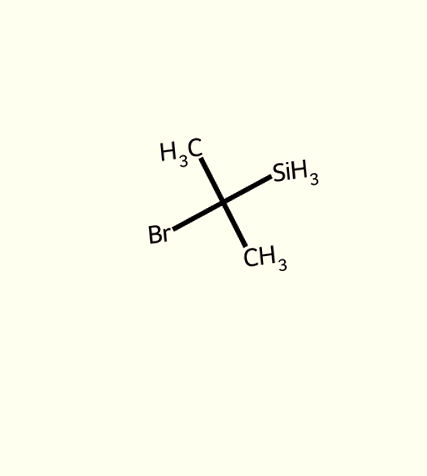 CC(C)([SiH3])Br